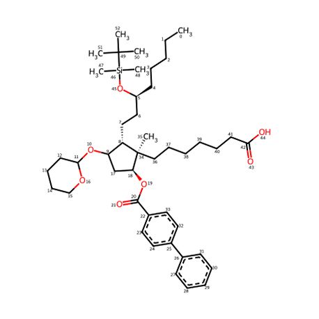 CCCCC[C@@H](CC[C@H]1C(OC2CCCCO2)C[C@H](OC(=O)c2ccc(-c3ccccc3)cc2)[C@]1(C)CCCCCCC(=O)O)O[Si](C)(C)C(C)(C)C